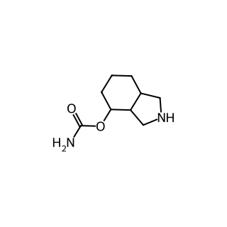 NC(=O)OC1CCCC2CNCC21